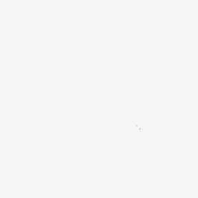 Ic1ccc2cnccc2c1